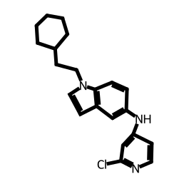 Clc1cc(Nc2ccc3c(ccn3CCC3CCCCC3)c2)ccn1